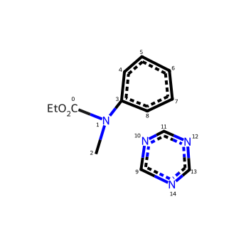 CCOC(=O)N(C)c1ccccc1.c1ncncn1